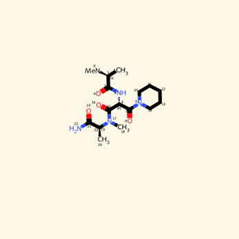 CN[C@@H](C)C(=O)N[C@H](C(=O)N1CCCCC1)C(=O)N(C)[C@@H](C)C(N)=O